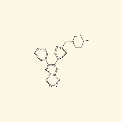 CC1CCN(Cc2ccc(-c3n[c]4c(nc3-c3ccccc3)[CH]=[W][V]=[U]4)cc2)CC1